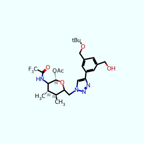 CC(=O)O[C@@H]1OC(Cn2cc(-c3cc(CO)cc(COC(C)(C)C)c3)nn2)[C@@H](C)[C@H](C)C1NC(=O)C(F)(F)F